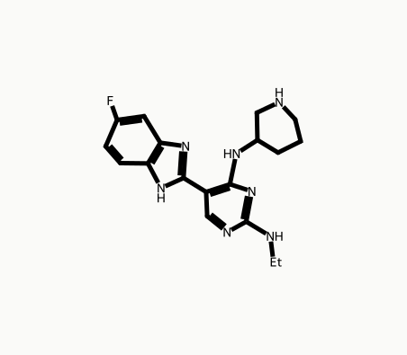 CCNc1ncc(-c2nc3cc(F)ccc3[nH]2)c(NC2CCCNC2)n1